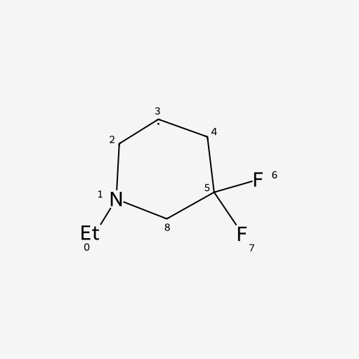 CCN1C[CH]CC(F)(F)C1